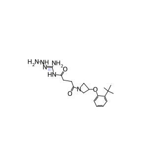 CC(C)(C)c1ccccc1OC1CN(C(=O)CCC(=O)N/C(N)=N/NN)C1